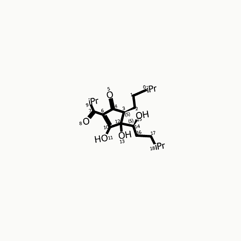 CC(C)CC[C@@H]1C(=O)C(C(=O)C(C)C)=C(O)C1(O)[C@@H](O)CCC(C)C